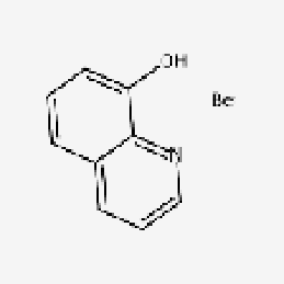 Oc1cccc2cccnc12.[Be]